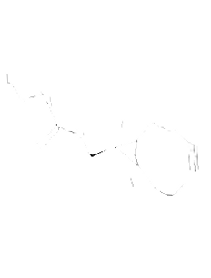 O=C(NSI)OC[C@@H]1[C@@H]2CCC#CCC[C@@H]21